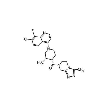 C[C@@H]1CN(c2ccnc3c(F)c(Cl)ccc23)CC[C@@H]1C(=O)N1CCn2c(nnc2C(F)(F)F)C1